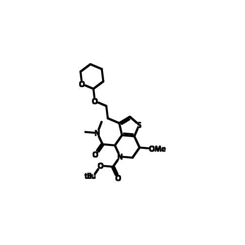 COC1CN(C(=O)OC(C)(C)C)C(C(=O)N(C)C)c2c(CCOC3CCCCO3)csc21